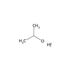 CC(C)[O].[Hf]